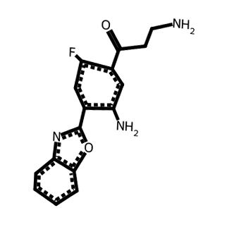 NCCC(=O)c1cc(N)c(-c2nc3ccccc3o2)cc1F